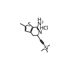 Cc1cc2c(s1)C(N)=NC(C#C[Si](C)(C)C)C2.Cl